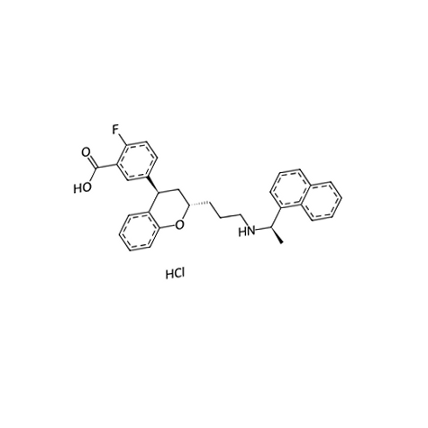 C[C@@H](NCCC[C@H]1C[C@H](c2ccc(F)c(C(=O)O)c2)c2ccccc2O1)c1cccc2ccccc12.Cl